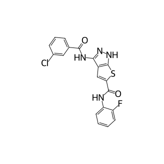 O=C(Nc1n[nH]c2sc(C(=O)Nc3ccccc3F)cc12)c1cccc(Cl)c1